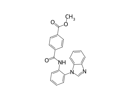 COC(=O)c1ccc(C(=O)Nc2ccccc2-n2cnc3ccccc32)cc1